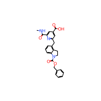 CNC(=O)c1cc(C(=O)O)cc(Cc2cccc3c2CCN3C(=O)OCc2ccccc2)n1